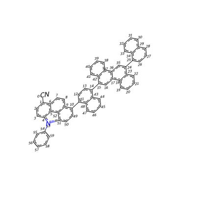 N#Cc1ccc2c3c1ccc1c(-c4ccc(-c5cc6c7ccccc7c(-c7cccc8ccccc78)cc6c6ccccc56)c5ccccc45)ccc(c13)n2-c1ccccc1